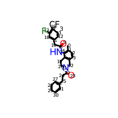 Cc1ccc2c(c1NC(=O)Cc1ccc(C(F)(F)F)c(F)c1)CCN(C(=O)CCc1ccccc1)C2